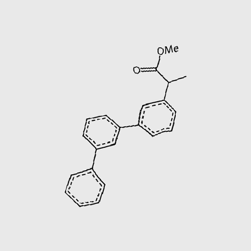 COC(=O)C(C)c1cccc(-c2cccc(-c3ccccc3)c2)c1